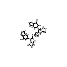 CSC1=C(c2cc(C)c3sccc3c2)N2CCN=C2S1.Cc1cc(C2=C(CO)SC3=NCCN32)cc2ccsc12